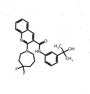 CC(C)(O)c1cccc(NC(=O)c2cc3ccccc3nc2N2CCCC(F)(F)CC2)c1